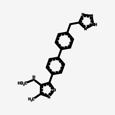 Cc1noc(-c2ccc(-c3ccc(Cc4nn[nH]n4)cc3)cc2)c1NC(=O)O